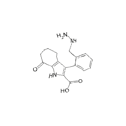 NNCc1ccccc1-c1c(C(=O)O)[nH]c2c1CCCC2=O